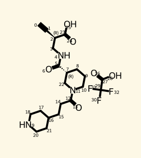 C#C[C@H](CNC(=O)[C@@H]1CCCN(C(=O)CCC2CCNCC2)C1)C(=O)O.O=C(O)C(F)(F)F